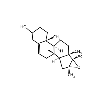 CC(=O)[C@@]12O[C@]1(C)C[C@H]1[C@@H]3CC=C4CC(O)CC[C@]4(C)[C@H]3CC[C@@]12C